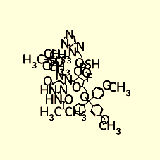 COc1ccc(C(OC[C@H]2O[C@@H](n3cnc4c(=O)[nH]c(NC(=O)C(C)C)nc43)[C@H](OP(=O)(S)OCc3nc4cncnc4n3CCO[Si](C)(C)C(C)(C)C)[C@@H]2F)(c2ccccc2)c2ccc(OC)cc2)cc1